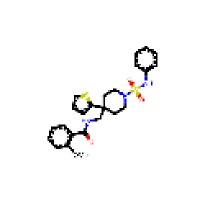 COc1ccccc1C(=O)NCC1(c2cccs2)CCN(S(=O)(=O)Nc2ccccc2)CC1